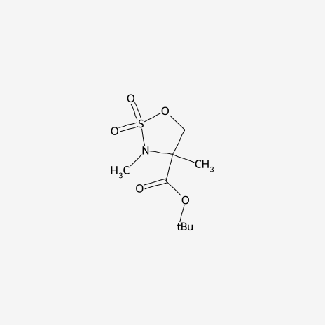 CN1C(C)(C(=O)OC(C)(C)C)COS1(=O)=O